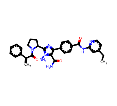 C=C(C(=O)N1CCCC1c1nc(-c2ccc(C(=O)Nc3cc(CC)ccn3)cc2)c(C(N)=O)n1N)c1ccccc1